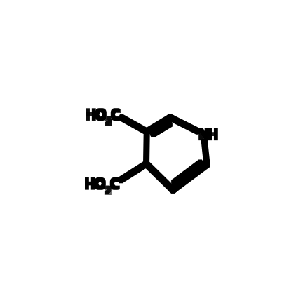 O=C(O)C1=CNC=CC1C(=O)O